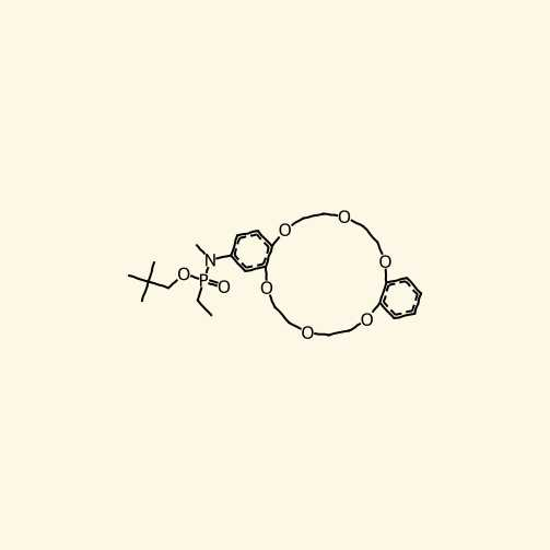 CCP(=O)(OCC(C)(C)C)N(C)c1ccc2c(c1)OCCOCCOc1ccccc1OCCOCCO2